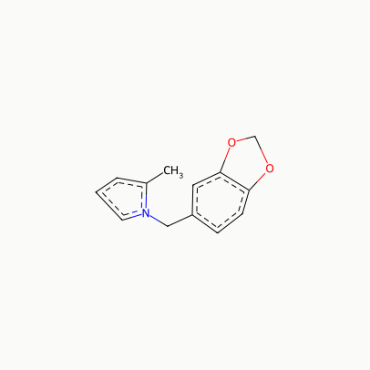 Cc1cccn1Cc1ccc2c(c1)OCO2